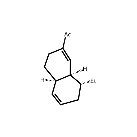 CC[C@@H]1CC=C[C@H]2CCC(C(C)=O)=C[C@@H]12